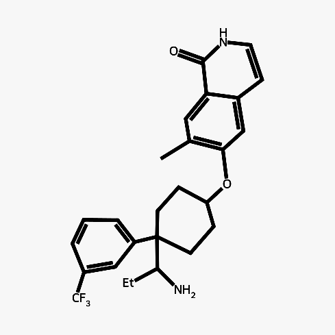 CCC(N)C1(c2cccc(C(F)(F)F)c2)CCC(Oc2cc3cc[nH]c(=O)c3cc2C)CC1